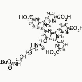 CC(C)(C)OC(=O)NCCOCCOCCNC(=O)COc1cc(CN(Cc2cccc(C(=O)O)n2)Cc2cccc(C(=O)O)n2)nc(CN(Cc2cccc(C(=O)O)n2)Cc2cccc(C(=O)O)n2)c1